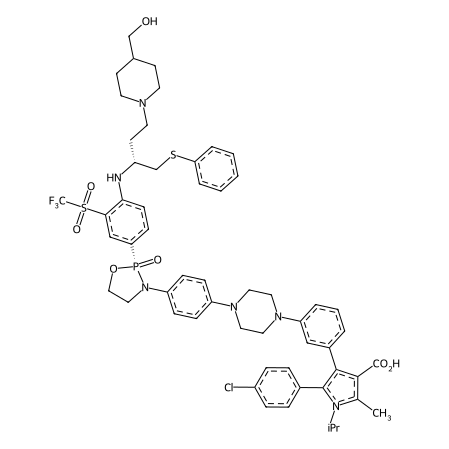 Cc1c(C(=O)O)c(-c2cccc(N3CCN(c4ccc(N5CCO[P@]5(=O)c5ccc(N[C@H](CCN6CCC(CO)CC6)CSc6ccccc6)c(S(=O)(=O)C(F)(F)F)c5)cc4)CC3)c2)c(-c2ccc(Cl)cc2)n1C(C)C